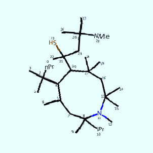 CCCC(C)(C)C1C(C)CC(C)(C(C)C)N(C)C(C)(C)CC(C)(C)C1C(C)(S)CC(C)(C)NC